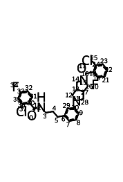 O=C(NCCCc1cccc(N2CC3CN(C(=O)c4c(F)cccc4Cl)CC3C2)c1)c1ccc(F)cc1Cl